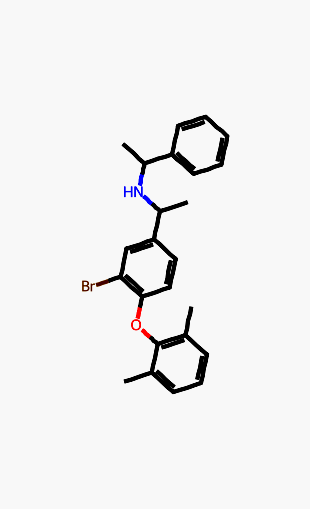 Cc1cccc(C)c1Oc1ccc(C(C)NC(C)c2ccccc2)cc1Br